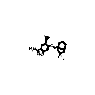 CC1CC2CCCC(COc3cc4onc(N)c4cc3C3CC3)(C1)C2